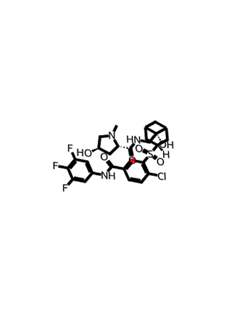 CN1C[C@H](O)C[C@H]1C(=O)NC[C@]1(O)C2CC1C[C@@H](S(=O)(=O)c1cc(C(=O)Nc3cc(F)c(F)c(F)c3)ccc1Cl)C2